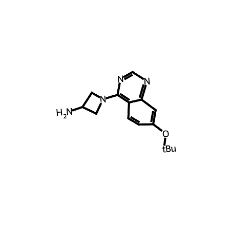 CC(C)(C)Oc1ccc2c(N3CC(N)C3)ncnc2c1